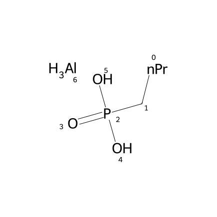 CCCCP(=O)(O)O.[AlH3]